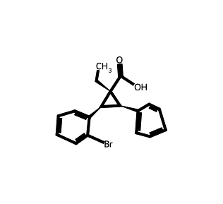 CC[C@]1(C(=O)O)[C@H](c2ccccc2Br)[C@@H]1c1ccccc1